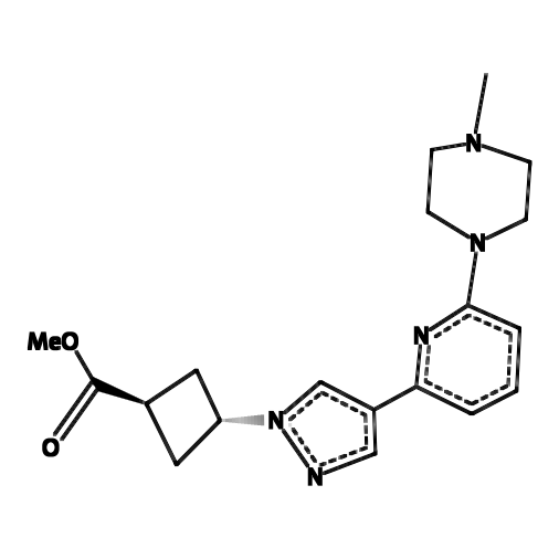 COC(=O)[C@H]1C[C@H](n2cc(-c3cccc(N4CCN(C)CC4)n3)cn2)C1